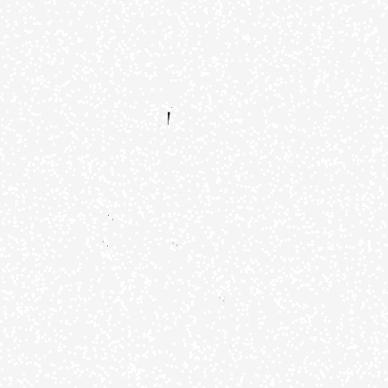 Cn1ncc(NC(=O)c2csc(-c3c(F)cccc3F)n2)c1C1CC[C@@H](NC(=O)OC(C)(C)C)[C@H](F)CO1